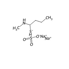 CCCC(NC)[SH-]S(=O)(=O)[O-].[Na+].[Na+]